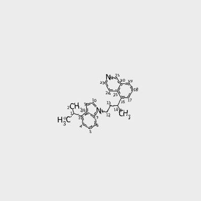 CC(C)c1cccc2c1ccn2CCC(C)c1cccc2cnccc12